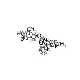 CCOC(Cc1ccc(OCCN(CCOCC(C)(F)F)C(=O)Nc2ccccc2F)cc1)C(=O)O